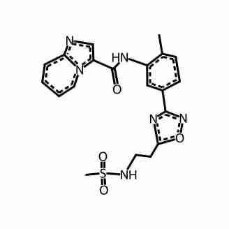 Cc1ccc(-c2noc(CCNS(C)(=O)=O)n2)cc1NC(=O)c1cnc2ccccn12